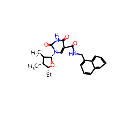 CC[C@H]1O[C@@H](n2cc(C(=O)NCc3cccc4ccccc34)c(=O)[nH]c2=O)C(C)[C@H]1C